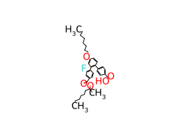 CCCCCCCCOc1ccc(-c2ccc(C(=O)O)cc2)c(-c2ccc(C(=O)OC(C)CCCCCC)cc2F)c1